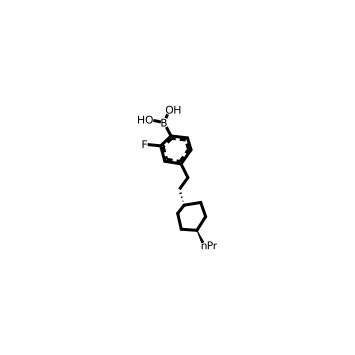 CCC[C@H]1CC[C@H](CCc2ccc(B(O)O)c(F)c2)CC1